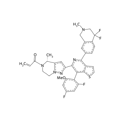 C=CC(=O)N1CCn2nc(-c3nc(-c4ccc5c(c4)CN(C)CC5(F)F)c4ccsc4c3-c3c(F)cc(F)cc3OC)cc2[C@H]1C